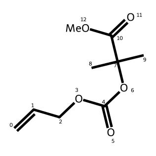 C=CCOC(=O)OC(C)(C)C(=O)OC